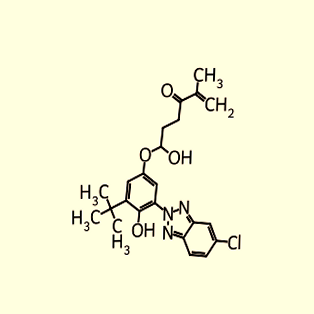 C=C(C)C(=O)CCC(O)Oc1cc(-n2nc3ccc(Cl)cc3n2)c(O)c(C(C)(C)C)c1